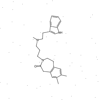 Cc1cc2c(cc1C)CC(=O)N(CCCN(C)CCc1c[nH]c3ccccc13)CC2